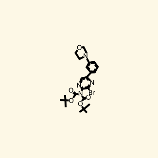 CC(C)(C)OC(=O)N(C(=O)OC(C)(C)C)c1ncc(-c2cccc(N3CCOCC3)c2)nc1Br